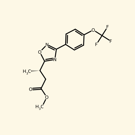 COC(=O)C[C@H](C)c1nc(-c2ccc(OC(F)(F)F)cc2)no1